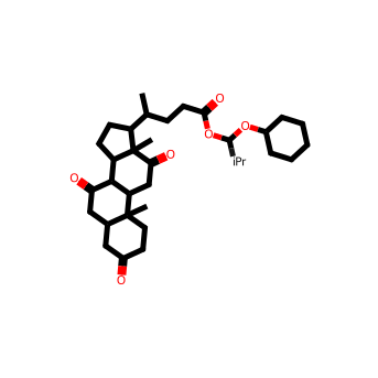 CC(C)C(OC(=O)CCC(C)C1CCC2C3C(=O)CC4CC(=O)CCC4(C)C3CC(=O)C12C)OC1CCCCC1